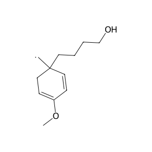 [CH2]C1(CCCCO)C=CC(OC)=CC1